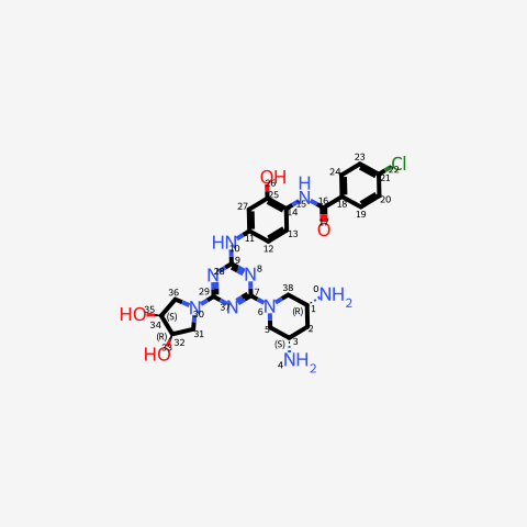 N[C@@H]1C[C@H](N)CN(c2nc(Nc3ccc(NC(=O)c4ccc(Cl)cc4)c(O)c3)nc(N3C[C@@H](O)[C@@H](O)C3)n2)C1